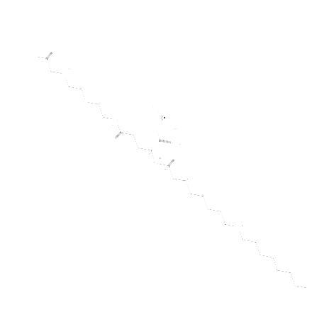 CCCCCCCCSCCCCCCCC(=O)NC(CCC(=O)NCCOCCOCC(=O)O)C(=O)OC(C)(C)C